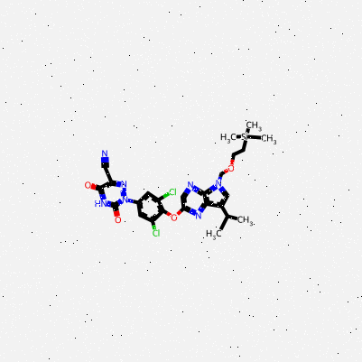 CC(C)c1cn(COCC[Si](C)(C)C)c2ncc(Oc3c(Cl)cc(-n4nc(C#N)c(=O)[nH]c4=O)cc3Cl)nc12